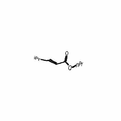 CCCOC(=O)C=CC(C)C